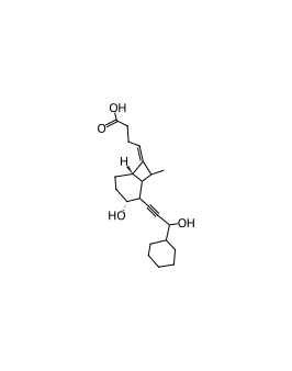 CC1/C(=C/CCC(=O)O)[C@H]2CC[C@@H](O)C(C#CC(O)C3CCCCC3)C12